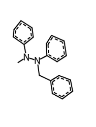 CN(c1ccccc1)N(Cc1ccccc1)c1ccccc1